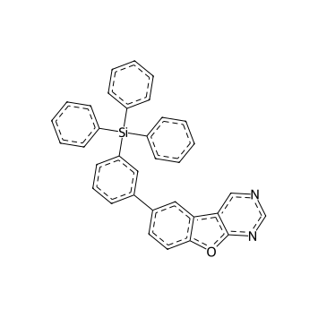 c1ccc([Si](c2ccccc2)(c2ccccc2)c2cccc(-c3ccc4oc5ncncc5c4c3)c2)cc1